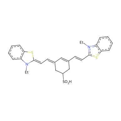 CCN1/C(=C/C=C2C=C(/C=C/c3sc4ccccc4[n+]3CC)CC(S(=O)(=O)O)C/2)Sc2ccccc21